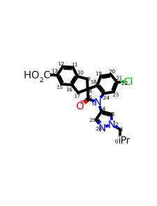 CC(C)Cn1cc(N2C(=O)C3(Cc4ccc(C(=O)O)cc4C3)c3ccc(Cl)cc32)cn1